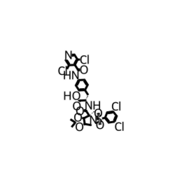 CC1(C)OC2CN(S(=O)(=O)c3cc(Cl)cc(Cl)c3)[C@](C)(C(=O)N[C@@H](Cc3ccc(NC(=O)c4c(Cl)cncc4Cl)cc3)C(=O)O)C2O1